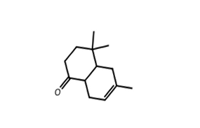 CC1=CCC2C(=O)CCC(C)(C)C2C1